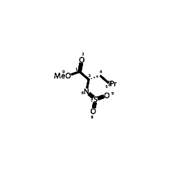 COC(=O)[C@H](CC(C)C)N=S(=O)=O